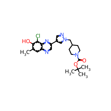 Cc1cc2ncc(-c3cnn(CC4CCN(C(=O)OC(C)(C)C)CC4)c3)nc2c(Cl)c1O